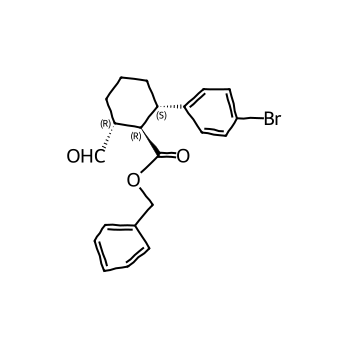 O=C[C@@H]1CCC[C@H](c2ccc(Br)cc2)[C@H]1C(=O)OCc1ccccc1